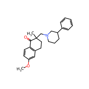 COc1ccc2c(c1)CCC(C)(CN1CCCC(c3ccccc3)C1)C2=O